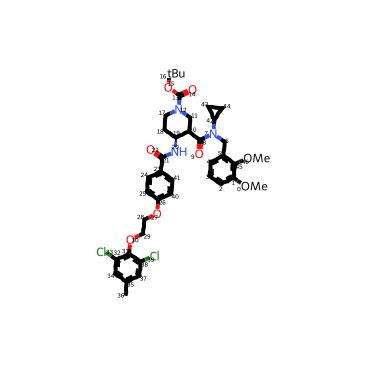 COc1cccc(CN(C(=O)C2CN(C(=O)OC(C)(C)C)CC[C@@H]2NC(=O)c2ccc(OCCOc3c(Cl)cc(C)cc3Cl)cc2)C2CC2)c1OC